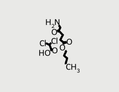 CCCCCOC(=O)CCC(=O)CN.O=C(O)C(Cl)Cl